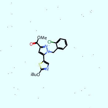 COC(=O)c1cc(-c2cnc(OCC(C)C)s2)n(Cc2ccccc2Cl)n1